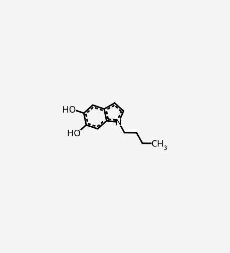 CCCCn1ccc2cc(O)c(O)cc21